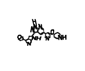 c1cc(-c2cncc3[nH]c(-c4n[nH]c5ncc(-c6cncc(OC7CCNCC7)c6)cc45)cc23)co1